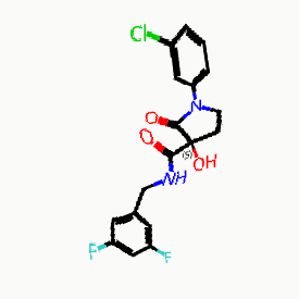 O=C(NCc1cc(F)cc(F)c1)[C@@]1(O)CCN(c2cccc(Cl)c2)C1=O